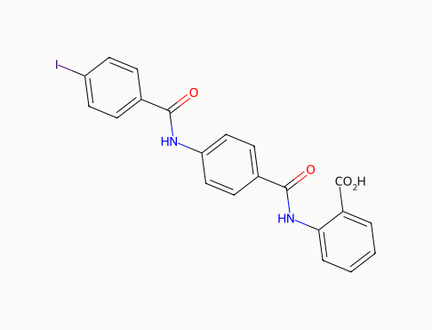 O=C(Nc1ccc(C(=O)Nc2ccccc2C(=O)O)cc1)c1ccc(I)cc1